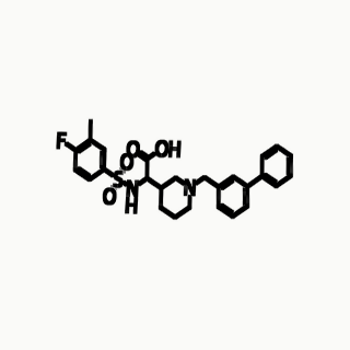 Cc1cc(S(=O)(=O)NC(C(=O)O)C2CCCN(Cc3cccc(-c4ccccc4)c3)C2)ccc1F